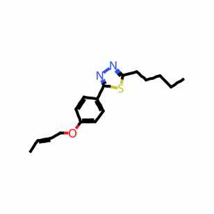 CC=CCOc1ccc(-c2nnc(CCCCC)s2)cc1